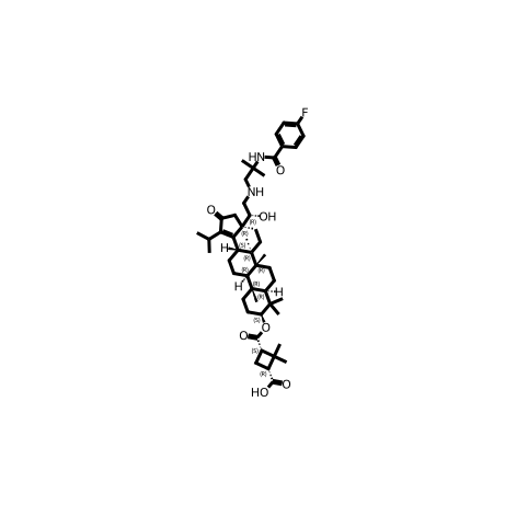 CC(C)C1=C2[C@H]3CC[C@@H]4[C@@]5(C)CC[C@H](OC(=O)[C@H]6C[C@@H](C(=O)O)C6(C)C)C(C)(C)[C@@H]5CC[C@@]4(C)[C@]3(C)CC[C@@]2([C@@H](O)CNCC(C)(C)NC(=O)c2ccc(F)cc2)CC1=O